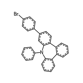 Brc1ccc(-c2ccc3c(c2)N(c2ccccc2)c2ccccc2-c2ccccc2-3)cc1